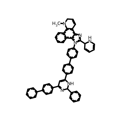 CN1CC=Cc2c1c1ccccc1c1c2nc(C2C=CC=CN2)n1-c1ccc(-c2ccc(C3=CC(c4ccc(-c5ccccc5)cc4)=NC(c4ccccc4)N3)cc2)cc1